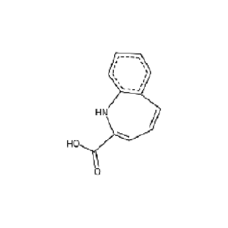 O=C(O)C1=CC=Cc2ccccc2N1